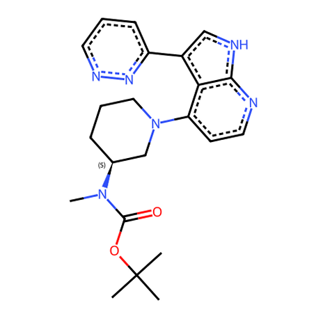 CN(C(=O)OC(C)(C)C)[C@H]1CCCN(c2ccnc3[nH]cc(-c4cccnn4)c23)C1